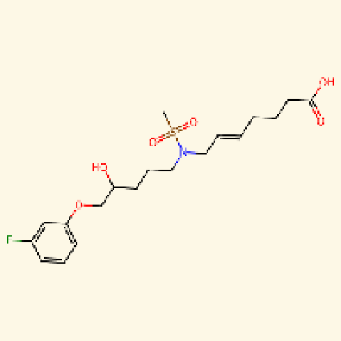 CS(=O)(=O)N(CC=CCCCC(=O)O)CCCC(O)COc1cccc(F)c1